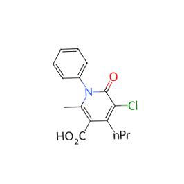 CCCc1c(C(=O)O)c(C)n(-c2ccccc2)c(=O)c1Cl